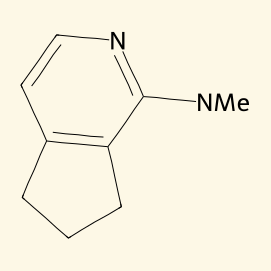 CNc1nccc2c1CCC2